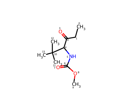 CCC(=O)C(NC(=O)OC)C(C)(C)C